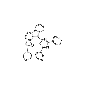 c1ccc(-c2nc(-c3ccccc3)nc(-n3c4ccccc4c4ccc5cc(-c6ccccc6)oc5c43)n2)cc1